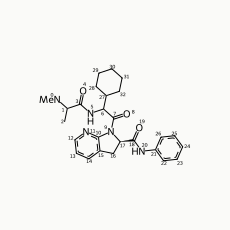 CNC(C)C(=O)NC(C(=O)N1c2ncccc2C[C@@H]1C(=O)Nc1ccccc1)C1CCCCC1